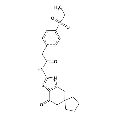 CCS(=O)(=O)c1ccc(CC(=O)Nc2nc3c(s2)C(=O)CC2(CCCC2)C3)cc1